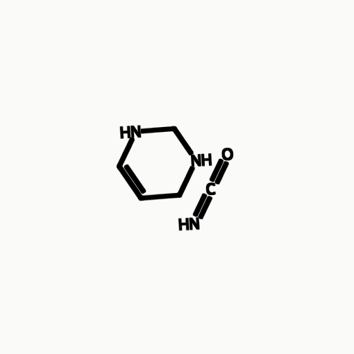 C1=CNCNC1.N=C=O